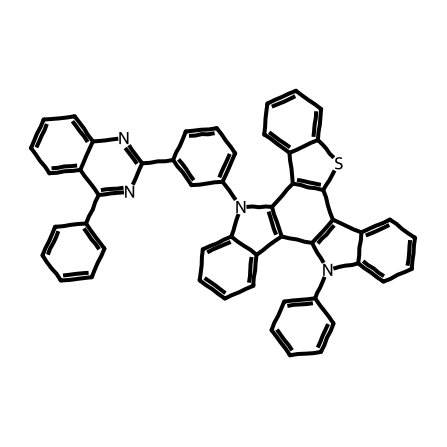 c1ccc(-c2nc(-c3cccc(-n4c5ccccc5c5c6c(c7ccccc7n6-c6ccccc6)c6sc7ccccc7c6c54)c3)nc3ccccc23)cc1